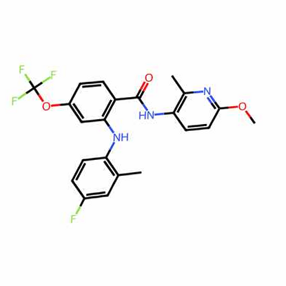 COc1ccc(NC(=O)c2ccc(OC(F)(F)F)cc2Nc2ccc(F)cc2C)c(C)n1